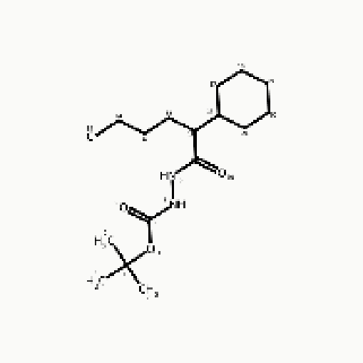 CC(C)(C)OC(=O)NNC(=O)C(CCCCl)C1CCCCC1